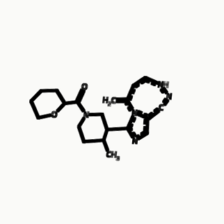 C=c1cc[nH]ncc2cnc(C3CN(C(=O)C4CCCCO4)CCC3C)n12